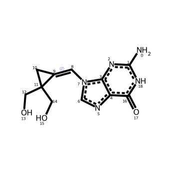 Nc1nc2c(ncn2/C=C2/CC2(CO)CO)c(=O)[nH]1